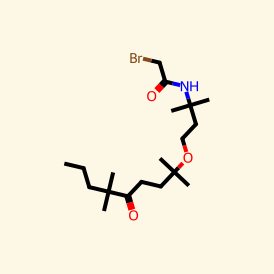 CCCC(C)(C)C(=O)CCC(C)(C)OCCC(C)(C)NC(=O)CBr